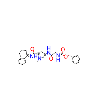 CN1C[C@@H](NC(=O)CNC(=O)OCc2ccccc2)C[C@H]1C(=O)N[C@@H]1CCCc2ccccc21